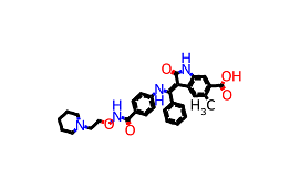 Cc1cc2c(cc1C(=O)O)NC(=O)/C2=C(\Nc1ccc(C(=O)NOCCN2CCCCC2)cc1)c1ccccc1